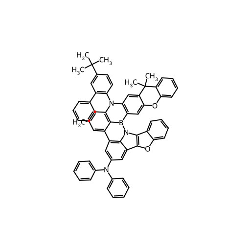 Cc1cc2c3c(c1)N(c1ccc(C(C)(C)C)cc1-c1ccccc1)c1cc4c(cc1B3n1c3c-2cc(N(c2ccccc2)c2ccccc2)cc3c2oc3ccccc3c21)Oc1ccccc1C4(C)C